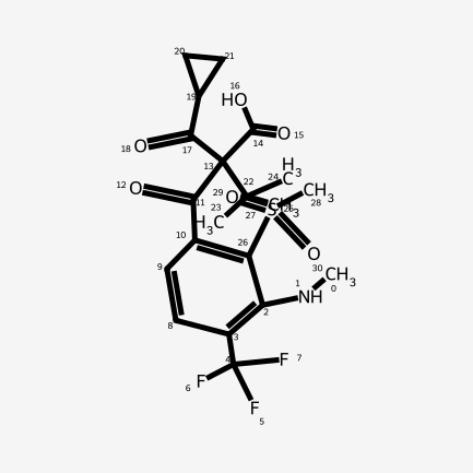 CNc1c(C(F)(F)F)ccc(C(=O)C(C(=O)O)(C(=O)C2CC2)C(C)(C)C)c1S(C)(=O)=O